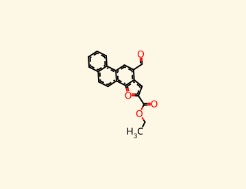 CCOC(=O)c1cc2c(C=O)cc3c4ccccc4ccc3c2o1